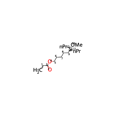 C=CC(=O)OCCCCC[Si](CCC)(CCC)OC